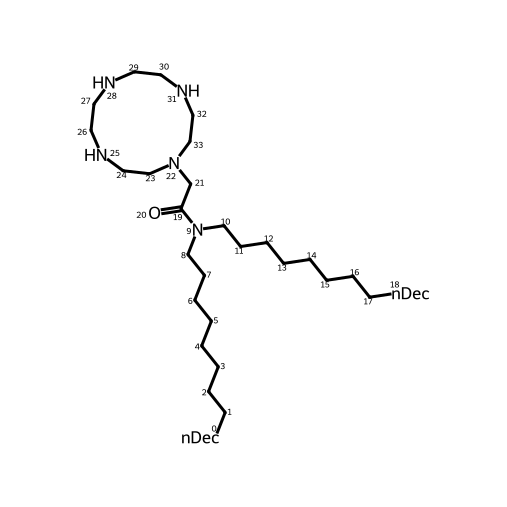 CCCCCCCCCCCCCCCCCCN(CCCCCCCCCCCCCCCCCC)C(=O)CN1CCNCCNCCNCC1